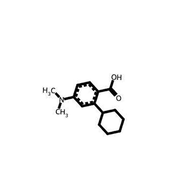 CN(C)c1ccc(C(=O)O)c(C2CCCCC2)c1